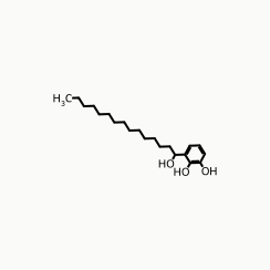 CCCCCCCCCCCCCCC(O)c1cccc(O)c1O